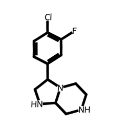 Fc1cc(C2CNC3CNCCN32)ccc1Cl